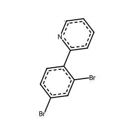 Brc1ccc(-c2ccc[c]n2)c(Br)c1